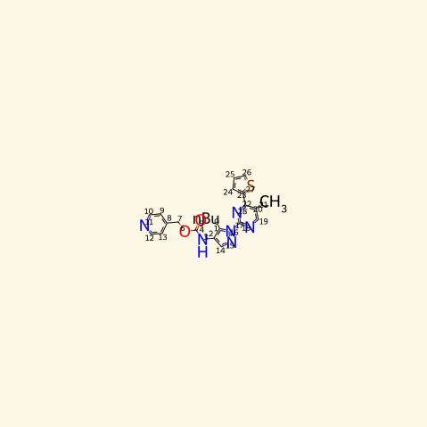 CCCCc1c(NC(=O)OCc2ccncc2)cnn1-c1ncc(C)c(-c2cccs2)n1